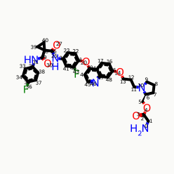 NCC(=O)OC[C@@H]1CCCN1CCCOc1ccc2c(Oc3ccc(NC(=O)C4(C(=O)Nc5ccc(F)cc5)CC4)cc3F)ccnc2c1